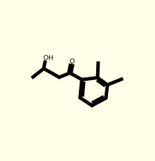 Cc1cccc(C(=O)CC(C)O)c1C